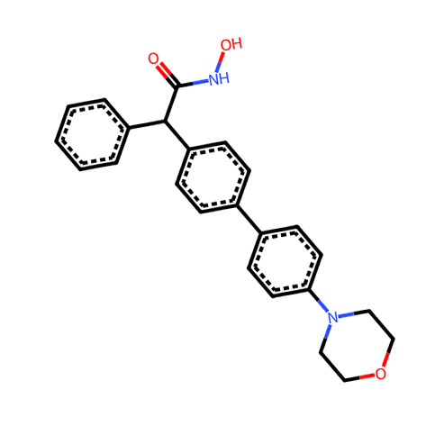 O=C(NO)C(c1ccccc1)c1ccc(-c2ccc(N3CCOCC3)cc2)cc1